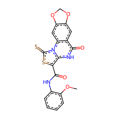 COc1ccccc1NC(=O)c1sc(=S)n2c1[nH]c(=O)c1cc3c(cc12)OCO3